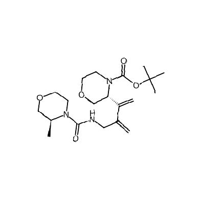 C=C(CNC(=O)N1CCOC[C@@H]1C)C(=C)[C@@H]1COCCN1C(=O)OC(C)(C)C